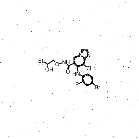 CCC(O)CONC(=O)c1cn2ccnc2c(Cl)c1Nc1ccc(Br)cc1F